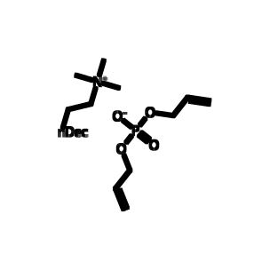 C=CCOP(=O)([O-])OCC=C.CCCCCCCCCCCC[N+](C)(C)C